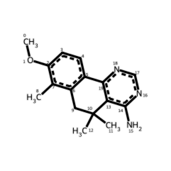 COc1ccc2c(c1C)CC(C)(C)c1c(N)ncnc1-2